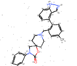 O=C1OC2(CCN(Cc3cc(C(F)(F)F)ccc3-c3cccc4[nH]ncc34)CC2)CN1c1ccccc1